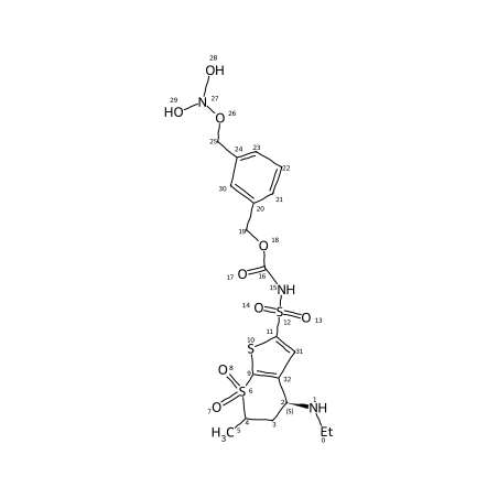 CCN[C@H]1CC(C)S(=O)(=O)c2sc(S(=O)(=O)NC(=O)OCc3cccc(CON(O)O)c3)cc21